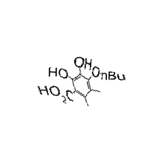 CCCCOc1c(C)c(C)c(C(=O)O)c(O)c1O